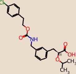 CC(C)O[C@@H](Cc1cccc(CNC(=O)OCCc2ccc(Cl)cc2)c1)C(=O)O